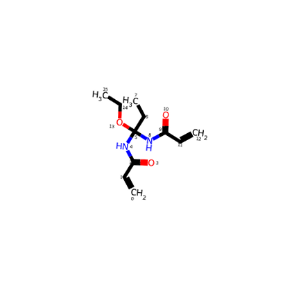 C=CC(=O)NC(CC)(NC(=O)C=C)OCC